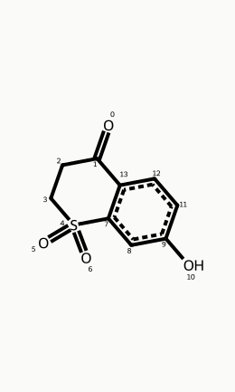 O=C1CCS(=O)(=O)c2cc(O)ccc21